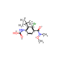 CON(C)C(=O)c1ccc(NC(=O)O)c(C(C)(C)C)c1Br